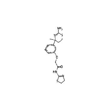 CC1(c2cccc(OCC(=O)NC3=NCCS3)c2)CCSC(N)=N1